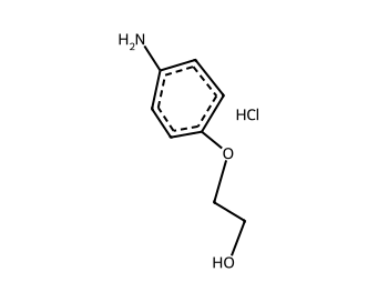 Cl.Nc1ccc(OCCO)cc1